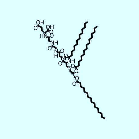 CCCCCCCCCCCCCCCC(=O)OC[C@H](CSC[C@H](NC(=O)CCCCCCCCCCCCC)C(=O)NCC(=O)NCC(=O)NCC(=O)N[C@@H](CCC(=O)O)C(=O)O)OC(=O)CCCCCCCCCCCCCCC